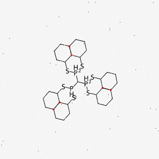 C1CCC(S[PH2](SC2CCCCC2)C([PH2](SC2CCCCC2)SC2CCCCC2)[PH2](SC2CCCCC2)SC2CCCCC2)CC1